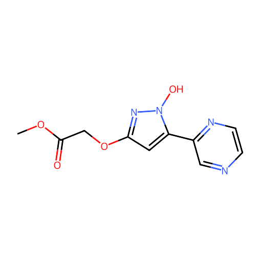 COC(=O)COc1cc(-c2cnccn2)n(O)n1